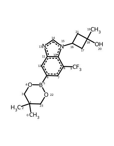 CC1(C)COB(c2cc(C(F)(F)F)c3c(c2)ncn3C2CC(C)(O)C2)OC1